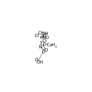 COc1cc2c(Oc3ccc(NC(=O)C4(C(=O)Nc5cccc(Cl)c5)CC4)cc3F)ccnc2cc1OCCCCCCC(=O)O.[CaH2]